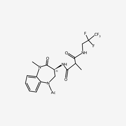 CC(=O)N1C[C@H](NC(=O)C(C)C(=O)NCC(F)(F)C(F)(F)F)C(=O)N(C)c2ccccc21